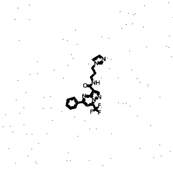 O=C(NCCCn1ccnc1)c1cnn2c(C(F)(F)F)cc(-c3ccccc3)nc12